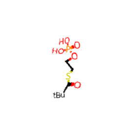 CC(C)(C)C(=O)SCCOP(=O)(O)O